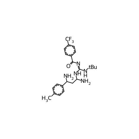 Cc1ccc(C(N)CC(N)N/C(=N\C(=O)c2ccc(C(F)(F)F)cc2)NC(C)(C)C)cc1